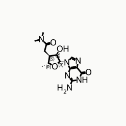 C[C@H]1O[C@@H](n2cnc3c(=O)[nH]c(N)nc32)[C@H](O)[C@@H]1CC(=O)N(C)C